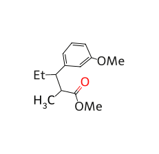 CCC(c1cccc(OC)c1)C(C)C(=O)OC